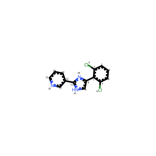 Clc1cccc(Cl)c1-c1c[nH]c(-c2cccnc2)n1